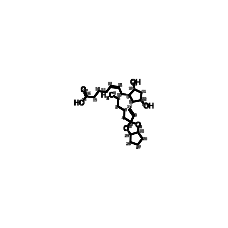 CCCCCC1(/C=C/[C@@H]2[C@@H](C/C=C\CCCC(=O)O)[C@@H](O)C[C@H]2O)OC2CCCC2O1